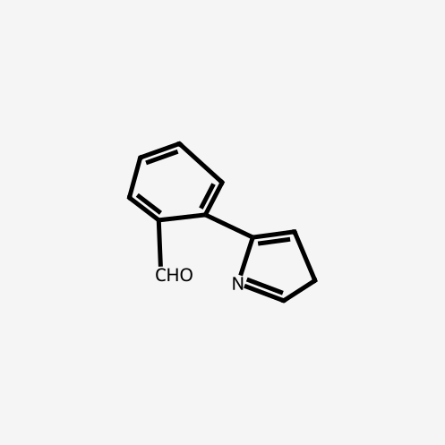 O=Cc1ccccc1C1=CCC=N1